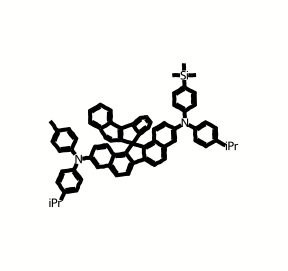 Cc1ccc(N(c2ccc(C(C)C)cc2)c2ccc3c4c(ccc3c2)-c2ccc3cc(N(c5ccc(C(C)C)cc5)c5ccc([Si](C)(C)C)cc5)ccc3c2C42c3ccccc3-c3c2ccc2ccccc32)cc1